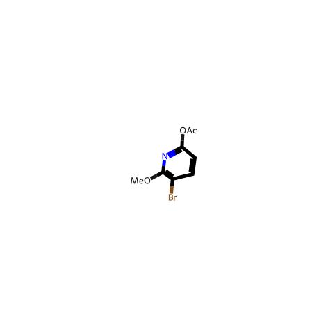 COc1nc(OC(C)=O)ccc1Br